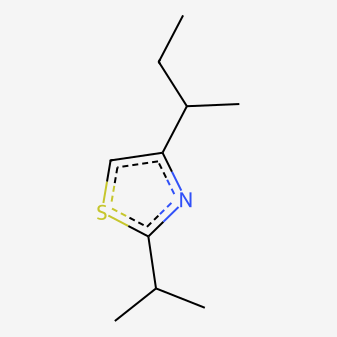 CCC(C)c1csc(C(C)C)n1